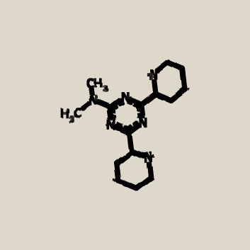 CN(C)c1nc(C2C[CH]CC[N]2)nc(C2C[CH]CC[N]2)n1